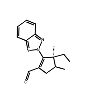 CC[C@]1(C)C(n2nc3ccccc3n2)=C(C=O)CC1C